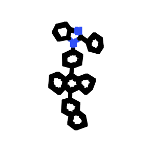 C1=CC2=NC(c3ccccc3)N(c3ccc(-c4c5ccccc5c(-c5ccc6ccccc6c5)c5ccccc45)cc3)C2C=C1